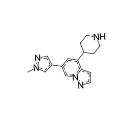 Cn1cc(-c2cc(C3CCNCC3)c3ccnn3c2)cn1